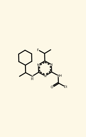 CCC(=O)Nc1nc(NC(C)C2CCCCC2)nc(C(C)F)n1